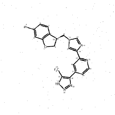 CC(C)c1ccc2c(c1)OC[C@@H]2Cn1cnc(-c2cc(-c3nn[nH]c3C(F)(F)F)ccn2)c1